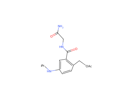 CC(=O)OCc1ccc(NC(C)C)cc1C(=O)NCC(N)=O